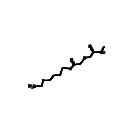 CNC(=O)COCC(=O)OCCCCCCN